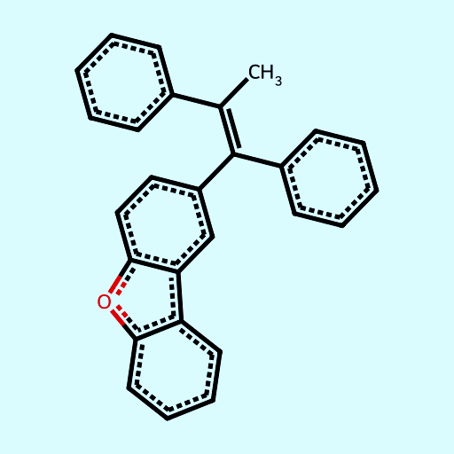 C/C(=C(\c1ccccc1)c1ccc2oc3ccccc3c2c1)c1ccccc1